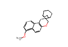 COc1cccc2c3c(ccc12)OCC1(C3)C2CCCC1CCC2